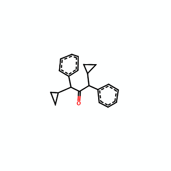 O=C(C(c1ccccc1)C1CC1)C(c1ccccc1)C1CC1